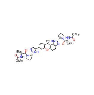 CC[C@H](C)[C@H](NC(=O)OC)C(=O)N1CCC[C@H]1c1ncc(-c2ccc3c(c2)Oc2ccc4nc([C@@H]5CCCN5C(=O)[C@@H](NC(=O)OC)[C@@H](C)CC)[nH]c4c2C32CC2)[nH]1